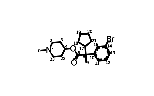 CN1CCC(OC(=O)C(C)(c2cccc(Br)c2)C2CCCC2)CC1